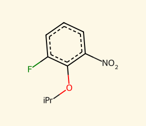 CC(C)Oc1c(F)cccc1[N+](=O)[O-]